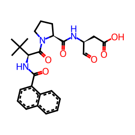 CC(C)(C)[C@H](NC(=O)c1cccc2ccccc12)C(=O)N1CCC[C@H]1C(=O)N[C@H](C=O)CC(=O)O